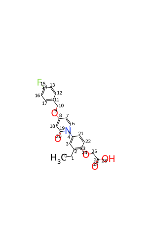 CCc1cc(-n2ccc(OCc3ccc(F)cc3)cc2=O)ccc1OCC(=O)O